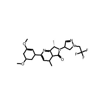 COC1=CC(C2=CC(C)C3C(=O)N(C4C=NN(CC(F)(F)F)C4)[C@@H](C)C3=N2)CC(OC)C1